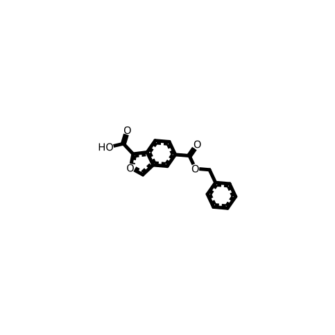 O=C(OCc1ccccc1)c1ccc2c(C(=O)O)occ2c1